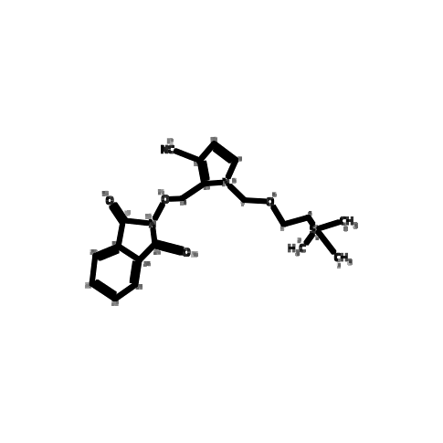 C[Si](C)(C)CCOCn1ccc(C#N)c1CON1C(=O)c2ccccc2C1=O